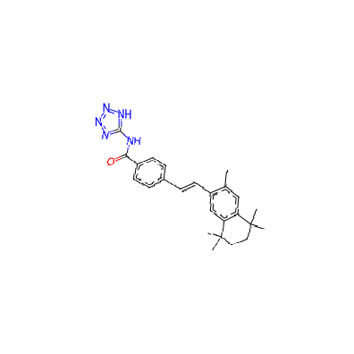 Cc1cc2c(cc1C=Cc1ccc(C(=O)Nc3nnn[nH]3)cc1)C(C)(C)CCC2(C)C